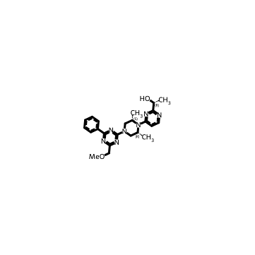 COCc1nc(-c2ccccc2)nc(N2C[C@@H](C)N(c3ccnc([C@@H](C)O)n3)[C@@H](C)C2)n1